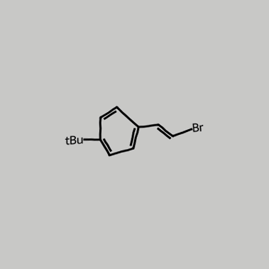 CC(C)(C)c1ccc(C=CBr)cc1